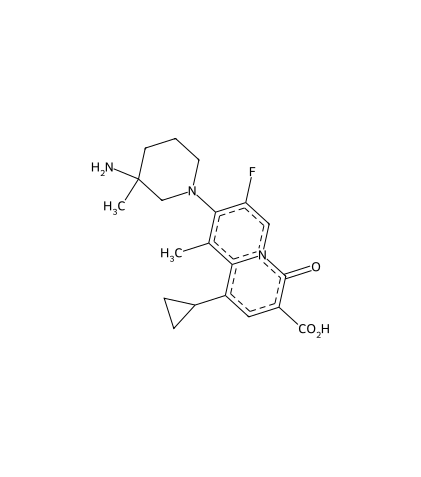 Cc1c(N2CCCC(C)(N)C2)c(F)cn2c(=O)c(C(=O)O)cc(C3CC3)c12